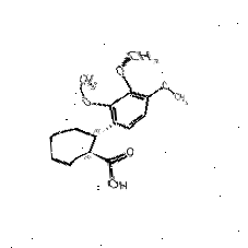 COc1ccc([C@H]2CCCC[C@@H]2C(=O)O)c(OC)c1OC